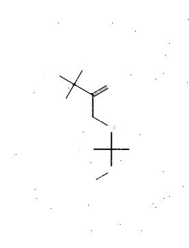 CC(C)(NCC(=O)C(C)(C)C)SS